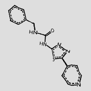 O=C(NCc1ccccc1)Nc1nnc(-c2ccncc2)s1